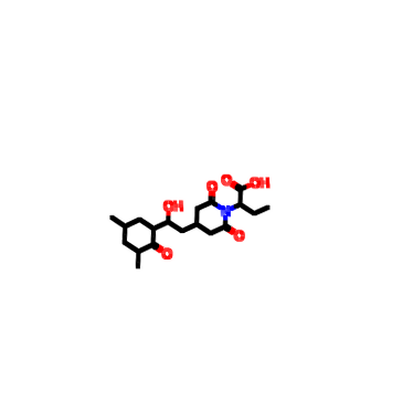 CCC(C(=O)O)N1C(=O)CC(CC(O)C2CC(C)CC(C)C2=O)CC1=O